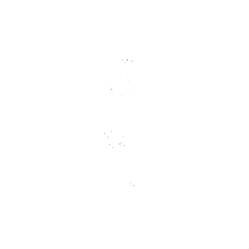 COc1ccc(SCc2cn(CCCN)nn2)cc1